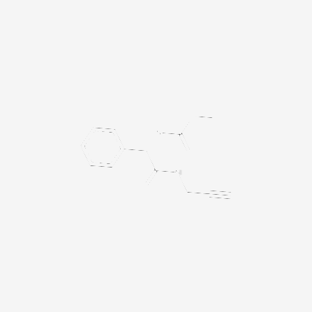 C#CCNC(=O)[C@@H](NC(=O)OC(C)(C)C)c1ccccc1